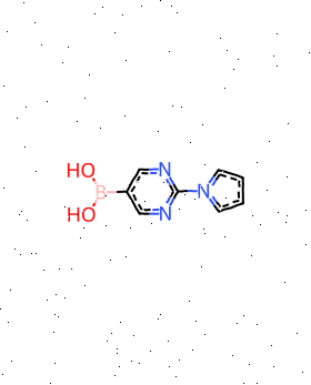 OB(O)c1cnc(-n2cccc2)nc1